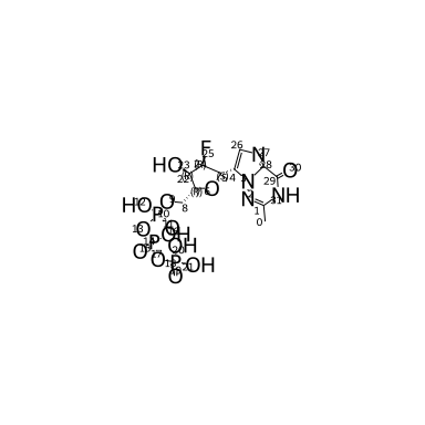 Cc1nn2c([C@@H]3O[C@H](COP(=O)(O)OP(=O)(O)OP(=O)(O)O)[C@@H](O)[C@H]3F)cnc2c(=O)[nH]1